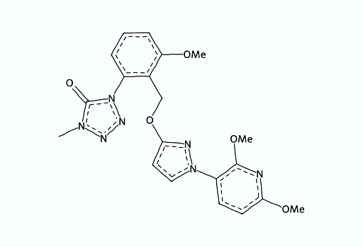 COc1ccc(-n2ccc(OCc3c(OC)cccc3-n3nnn(C)c3=O)n2)c(OC)n1